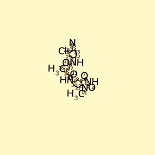 CCn1c(=O)[nH]c(=O)c2cc(NC(=O)CC(C)CC(=O)Nc3ccc(C#N)c(Cl)c3)ccc21